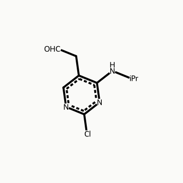 CC(C)Nc1nc(Cl)ncc1CC=O